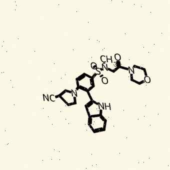 CN(CC(=O)N1CCOCC1)S(=O)(=O)c1ccc(N2CCC(C#N)C2)c(-c2cc3ccccc3[nH]2)c1